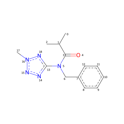 CC(C)C(=O)N(Cc1ccccc1)c1nnn(C)n1